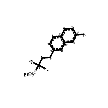 CCOC(=O)C(F)(F)CCc1ccc2ccc(C)cc2c1